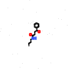 CCCCNC(=O)CCC(=O)c1ccccc1